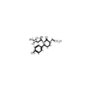 CC(C)C(CS(=O)(=O)C(C)C)N1C(=O)[C@@H](CC(=O)O)CCC1c1ccc(Cl)cc1